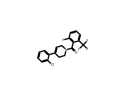 O=C(c1c(F)cccc1C(F)(F)F)N1CC=C(c2ccccc2Cl)CC1